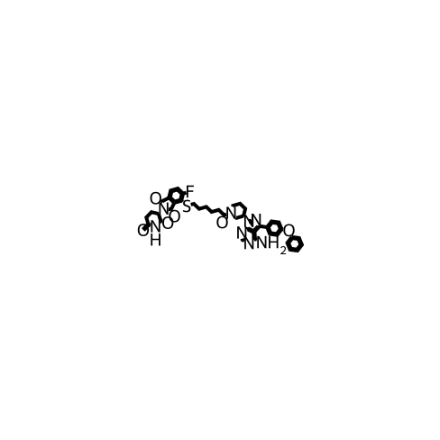 Nc1ncnc2c1c(-c1ccc(Oc3ccccc3)cc1)nn2C1CCCN(C(=O)CCCCCSc2c(F)ccc3c2C(=O)N(C2CCC(=O)NC2=O)C3=O)C1